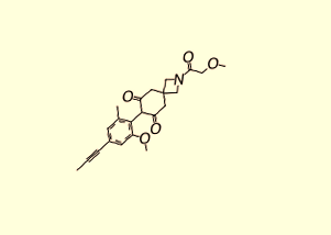 CC#Cc1cc(C)c(C2C(=O)CC3(CC2=O)CN(C(=O)COC)C3)c(OC)c1